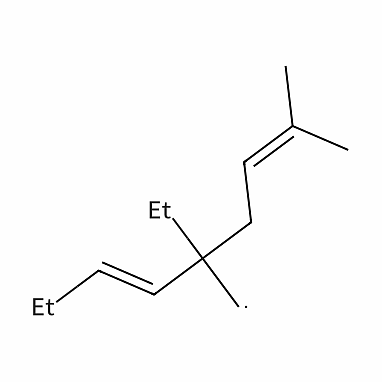 [CH2]C(C=CCC)(CC)CC=C(C)C